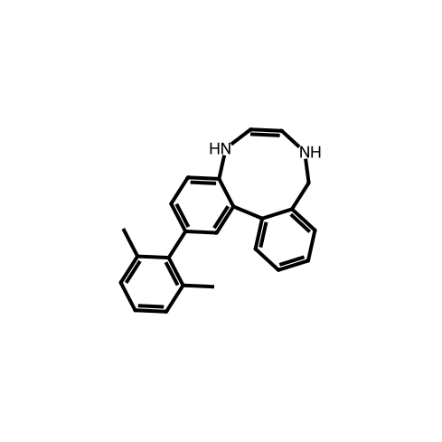 Cc1cccc(C)c1-c1ccc2c(c1)-c1ccccc1CN/C=C\N2